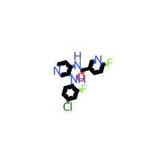 O=C(Nc1ccncc1Nc1ccc(Cl)cc1F)c1ccc(F)nc1